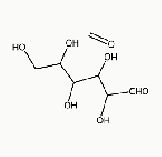 C=O.O=CC(O)C(O)C(O)C(O)CO